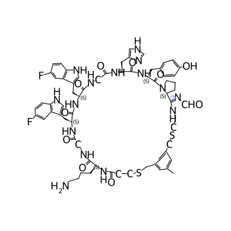 Cc1cc2cc(c1)CSCCC(=O)N[C@@H](CCCCN)C(=O)NCC(=O)N[C@@H](Cc1c[nH]c3ccc(F)cc13)C(=O)N[C@@H](Cc1c[nH]c3ccc(F)cc13)C(=O)NCC(=O)N[C@@H](Cc1c[nH]cn1)C(=O)N[C@@H](Cc1ccc(O)cc1)C(=O)N1CCC[C@@]1(C)/C(=N/C=O)NCCSC2